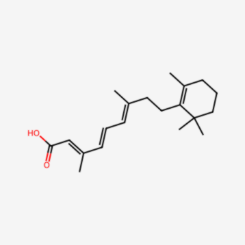 CC(C=CC=C(C)CCC1=C(C)CCCC1(C)C)=CC(=O)O